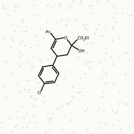 CCOC(=O)C1(O)CC(c2ccc(Cl)cc2)C=C(C(C)=O)O1